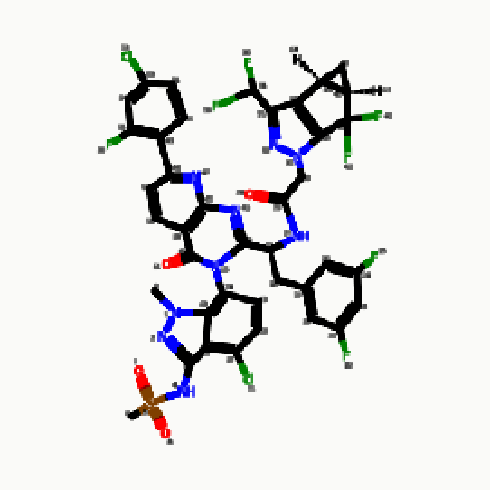 Cn1nc(NS(C)(=O)=O)c2c(Cl)ccc(-n3c([C@H](Cc4cc(F)cc(F)c4)NC(=O)Cn4nc(C(F)F)c5c4C(F)(F)[C@@H]4C[C@H]54)nc4nc(-c5ccc(Cl)cc5F)ccc4c3=O)c21